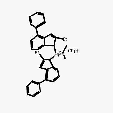 CCC1=Cc2c(-c3ccccc3)cccc2[CH]1[Hf+2]([CH]1C(CC)=Cc2c(-c3ccccc3)cccc21)=[Ge]([CH3])[CH3].[Cl-].[Cl-]